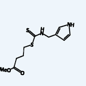 COC(=O)CCCSC(=S)NCc1cc[nH]c1